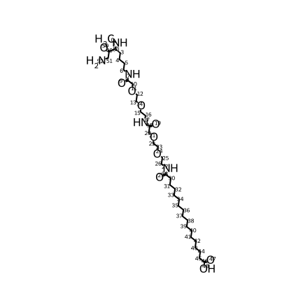 CN[C@@H](CCCCNC(=O)COCCOCCNC(=O)COCCOCCNC(=O)CCCCCCCCCCCCCCCCC(=O)O)C(=O)CN